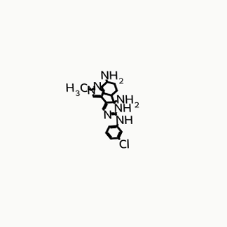 Cn1cc(C2=CN=C(Nc3cccc(Cl)c3)NC2(N)C2CCC(N)CC2)cn1